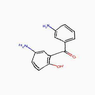 Nc1cccc(C(=O)c2cc(N)ccc2O)c1